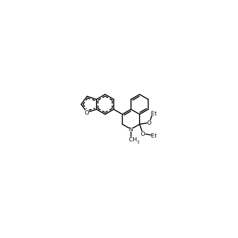 CCOC1(OCC)C2=CCC=CC2=C(c2ccc3ccoc3c2)CN1C